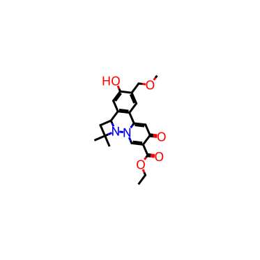 CCOC(=O)c1cn2c(cc1=O)-c1cc(COC)c(O)cc1C1CC(C)(C)N12